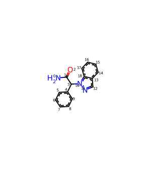 NC(=O)C(c1ccccc1)n1ncc2ccccc21